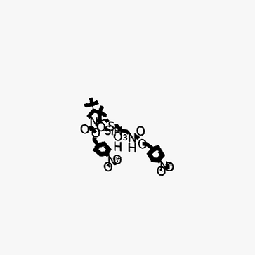 CC(C)(C)[C@H]1CN(C(=O)OCc2ccc([N+](=O)[O-])cc2)[C@](CSCC(O)CNC(=O)OCc2ccc([N+](=O)[O-])cc2)(O[SiH3])C1(C)C